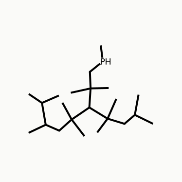 CPCC(C)(C)C(C(C)(C)CC(C)C)C(C)(C)CC(C)C(C)C